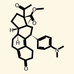 COC(=O)[C@]1(C(C)=O)CC[C@H]2[C@@H]3CCC4=CC(=O)CCC4=C3[C@@H](c3ccc(N(C)C)cc3)C[C@@]21C